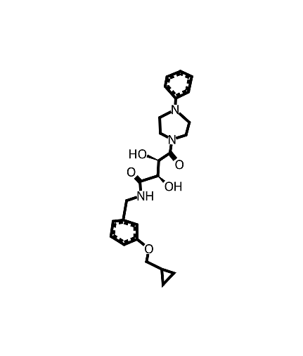 O=C(NCc1cccc(OCC2CC2)c1)[C@H](O)[C@@H](O)C(=O)N1CCN(c2ccccc2)CC1